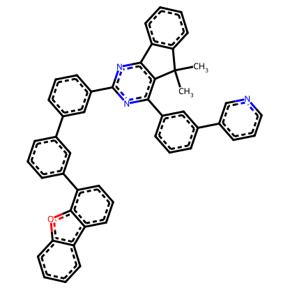 CC1(C)c2ccccc2-c2nc(-c3cccc(-c4cccc(-c5cccc6c5oc5ccccc56)c4)c3)nc(-c3cccc(-c4cccnc4)c3)c21